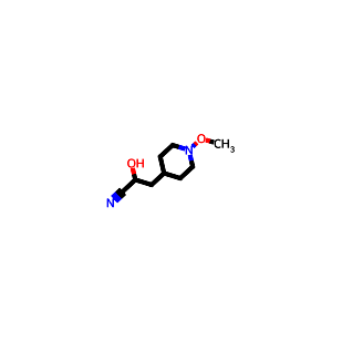 CON1CCC(CC(O)C#N)CC1